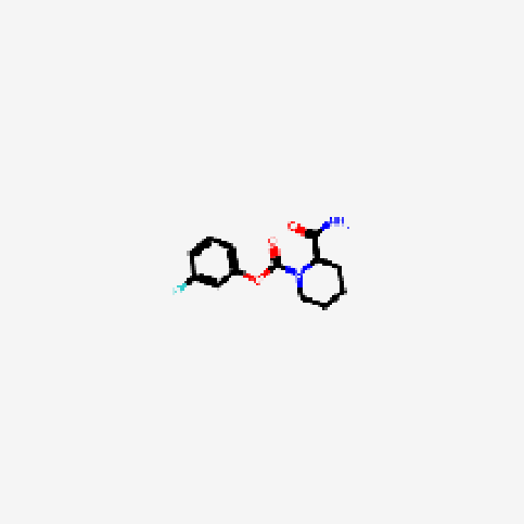 NC(=O)C1CCCCN1C(=O)Oc1cccc(F)c1